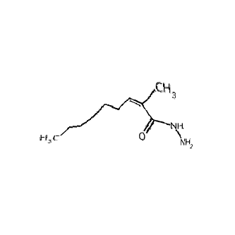 CCCCCC=C(C)C(=O)NN